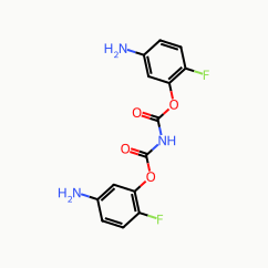 Nc1ccc(F)c(OC(=O)NC(=O)Oc2cc(N)ccc2F)c1